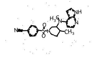 CC1CCN(S(=O)(=O)c2ccc(C#N)cc2)CC1N(C)c1ccnc2[nH]ccc12